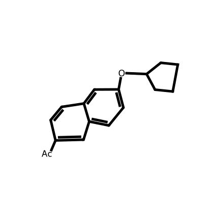 CC(=O)c1ccc2cc(OC3CCCC3)ccc2c1